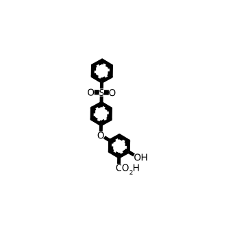 O=C(O)c1cc(Oc2ccc(S(=O)(=O)c3ccccc3)cc2)ccc1O